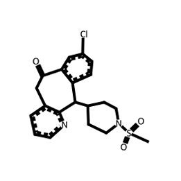 CS(=O)(=O)N1CCC(C2c3ccc(Cl)cc3C(=O)Cc3cccnc32)CC1